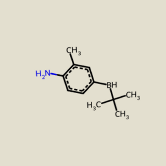 Cc1cc(BC(C)(C)C)ccc1N